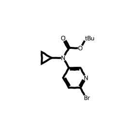 CC(C)(C)OC(=O)N(c1ccc(Br)nc1)C1CC1